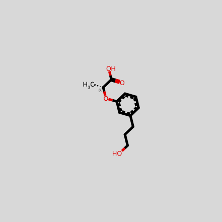 C[C@@H](Oc1cccc(CCCO)c1)C(=O)O